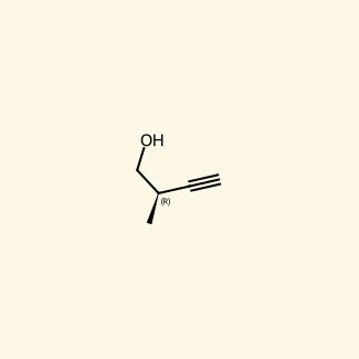 C#C[C@@H](C)CO